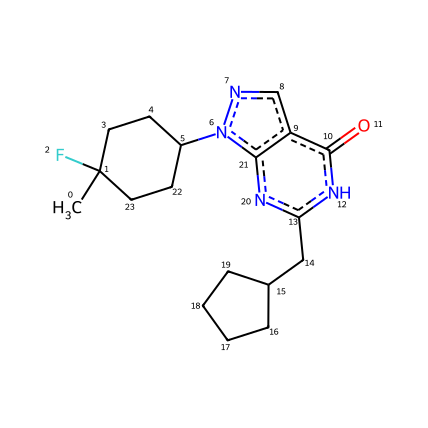 CC1(F)CCC(n2ncc3c(=O)[nH]c(CC4CCCC4)nc32)CC1